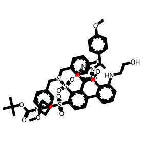 COc1ccc(CN(Cc2ccc(OC)cc2)S(=O)(=O)c2c(S(=O)(=O)C3CN(C(=O)OC(C)(C)C)C3)ccc(-c3cccc(NCCO)c3[N+](=O)[O-])c2-c2nnn(Cc3ccc(OC)cc3)n2)cc1